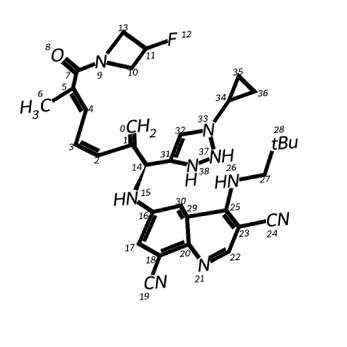 C=C(/C=C\C=C(/C)C(=O)N1CC(F)C1)[C@H](Nc1cc(C#N)c2ncc(C#N)c(NCC(C)(C)C)c2c1)C1=CN(C2CC2)NN1